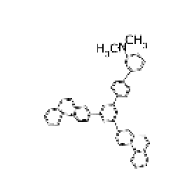 CN(C)c1cccc(-c2ccc(-c3cc(-c4ccc5c(ccc6ccccc65)c4)cc(-c4ccc5c(ccc6ccccc65)c4)c3)cc2)c1